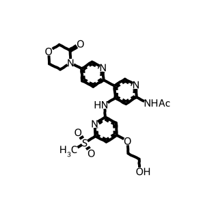 CC(=O)Nc1cc(Nc2cc(OCCO)cc(S(C)(=O)=O)n2)c(-c2ccc(N3CCOCC3=O)cn2)cn1